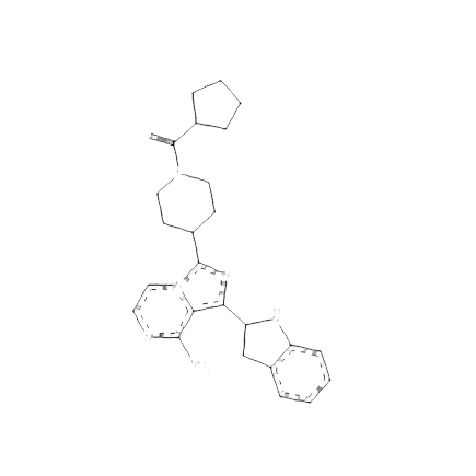 Nc1nccn2c(C3CCN(C(=O)C4CCCC4)CC3)nc(C3Cc4ccccc4N3)c12